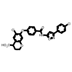 O=C(Nc1cc(-c2ccc(Cl)cc2)no1)c1ccc(Oc2cc3c(cc2Cl)C(C(=O)O)CCO3)cc1